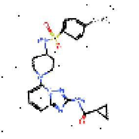 CC(=O)Nc1ccc(S(=O)(=O)NC2CCN(c3cccc4nc(NC(=O)C5CC5)nn34)CC2)cc1